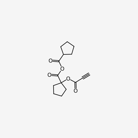 C#CC(=O)OC1(C(=O)OC(=O)C2CCCC2)CCCC1